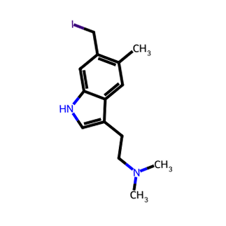 Cc1cc2c(CCN(C)C)c[nH]c2cc1CI